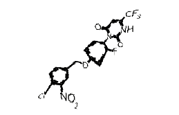 O=c1cc(C(F)(F)F)[nH]c(=O)n1-c1ccc(OCc2ccc(Cl)c([N+](=O)[O-])c2)cc1F